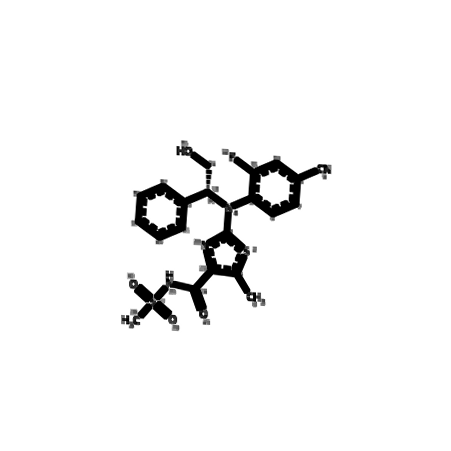 Cc1sc(N(c2ccc(C#N)cc2F)[C@@H](CO)c2ccccc2)nc1C(=O)NS(C)(=O)=O